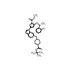 COC(=O)c1sc(-n2cnc3ccc(CC4CCN(C(=O)OC(C)(C)C)CC4)cc32)cc1O[C@H](C)c1ccccc1Cl